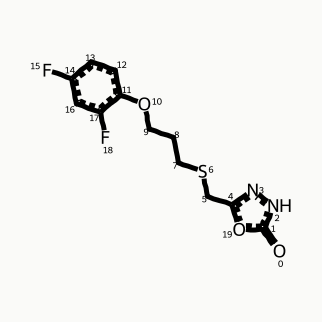 O=c1[nH]nc(CSCCCOc2ccc(F)cc2F)o1